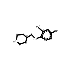 Clc1cc(Br)cnc1OCC1CCOCC1